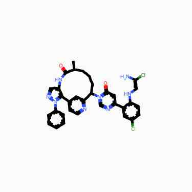 CC1CCCC(n2cnc(-c3cc(Cl)ccc3N/C=C(\N)Cl)cc2=O)c2cc(ccn2)-c2c(cnn2-c2ccccc2)NC1=O